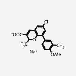 COc1ccc(-c2cc(Cl)cc3c2OC(C(F)(F)F)C(C(=O)[O-])=C3)cc1C.[Na+]